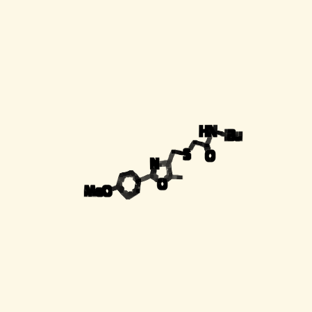 CCC(C)NC(=O)CSCc1nc(-c2ccc(OC)cc2)oc1C